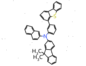 CC1(C)c2ccccc2-c2ccc(N(c3cccc(-c4cccc5c4sc4ccccc45)c3)c3ccc4ccccc4c3)cc21